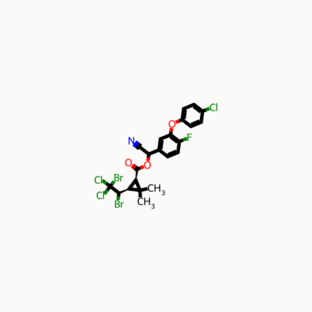 CC1(C)[C@H](C(=O)OC(C#N)c2ccc(F)c(Oc3ccc(Cl)cc3)c2)[C@@H]1C(Br)C(Cl)(Cl)Br